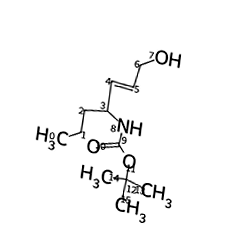 CCCC(/C=C/CO)NC(=O)OC(C)(C)C